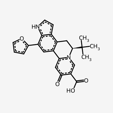 CC(C)(C)[C@@H]1Cc2c(cc(-c3ccco3)c3[nH]ccc23)-c2cc(=O)c(C(=O)O)cn21